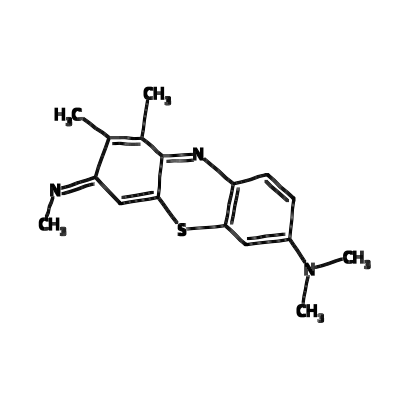 CN=c1cc2sc3cc(N(C)C)ccc3nc-2c(C)c1C